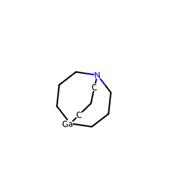 C1CN2CC[CH2][Ga]([CH2]1)[CH2]CC2